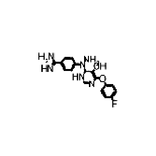 N=C(N)c1ccc(N(N)C2NC=NC(Oc3ccc(F)cc3)=C2O)cc1